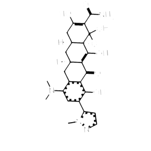 CN(C)c1cc(-c2ccnn2C)c(O)c2c1C[C@H]1C[C@H]3CC(O)=C(C(N)=O)C4(O)O[C@]34C(O)=C1C2=O